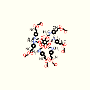 [C-]#[N+]/C(=C\c1ccc(N(C)CCOC(=O)C2C(C(=O)OCCN(C)c3ccc(/C=C(\[N+]#[C-])C(=O)OCC4CO4)cc3)C(C(=O)OCCN(C)c3ccc(/C=C(\C#N)C(=O)OCC4CO4)cc3)C(C(=O)OCCN(C)c3ccc(/C=C(\C#N)C(=O)OCC4CO4)cc3)C(C(=O)OCCN(C)c3ccc(/C=C(\C#N)C(=O)OCC4CO4)cc3)C2C(=O)OCCN(C)c2ccc(/C=C(\C#N)C(=O)OCC3CO3)cc2)cc1)C(=O)OCC1CO1